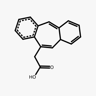 O=C(O)CC1=CC2C=CC=CC2=Cc2ccccc21